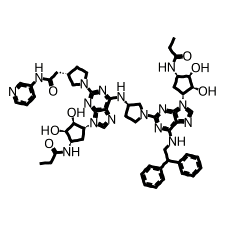 CCC(=O)N[C@H]1C[C@@H](n2cnc3c(NCC(c4ccccc4)c4ccccc4)nc(N4CC[C@@H](Nc5nc(N6CC[C@@H](CC(=O)Nc7cccnc7)C6)nc6c5ncn6[C@@H]5C[C@H](NC(=O)CC)[C@@H](O)[C@H]5O)C4)nc32)[C@H](O)[C@@H]1O